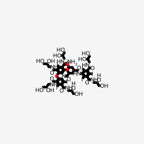 NC(=O)C1CC(C(=O)Nc2c(I)c(C(=O)NCC(O)CO)c(I)c(C(=O)NCC(O)CO)c2I)CC(C(=O)N(c2c(I)c(C(=O)NCC(O)CO)c(I)c(C(=O)NCC(O)CO)c2I)c2c(I)c(C(=O)NCC(O)CO)c(I)c(C(=O)NCC(O)CO)c2I)C1